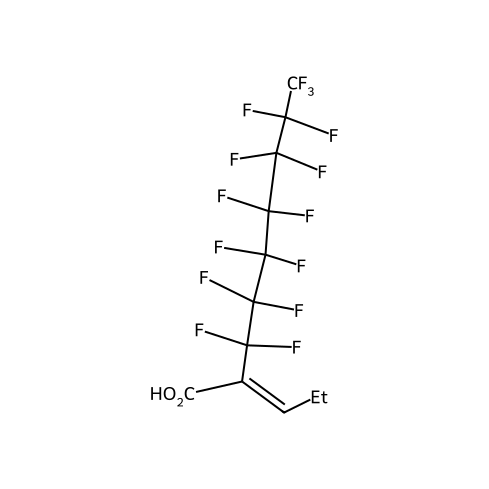 CCC=C(C(=O)O)C(F)(F)C(F)(F)C(F)(F)C(F)(F)C(F)(F)C(F)(F)C(F)(F)F